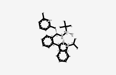 Cc1cccc(C[C@H](N[S@@+]([O-])C(C)(C)C)c2ccccc2-c2nn(C(C)C)c3ccccc23)n1